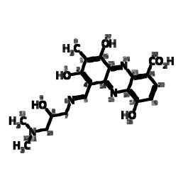 Cc1c(O)c(C=NCC(O)CN(C)C)c2nc3c(O)ccc(C(=O)O)c3nc2c1O